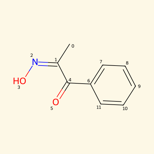 C/C(=N/O)C(=O)c1ccccc1